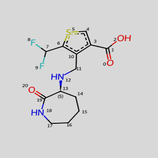 O=C(O)c1csc(C(F)F)c1CN[C@H]1CCCCNC1=O